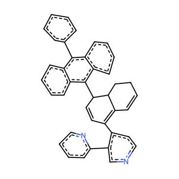 C1=CC2=C(c3ccncc3-c3ccccn3)C=CC(c3c4ccccc4c(-c4ccccc4)c4ccccc34)C2CC1